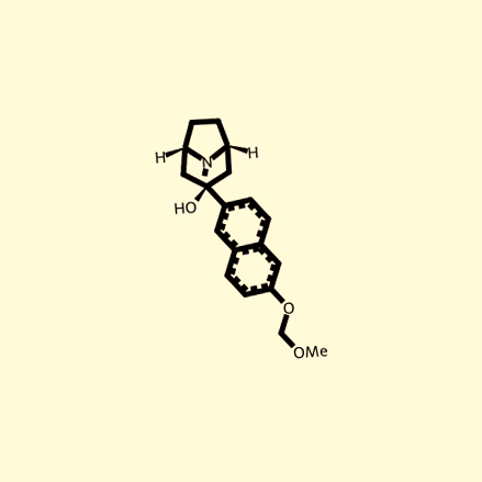 COCOc1ccc2cc([C@@]3(O)C[C@H]4CC[C@@H](C3)N4C)ccc2c1